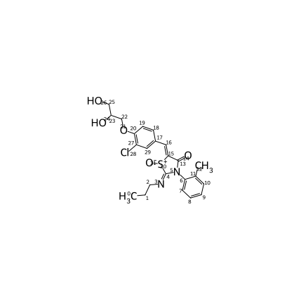 CCCN=C1N(c2ccccc2C)C(=O)C(=Cc2ccc(OCC(O)CO)c(Cl)c2)[S+]1[O-]